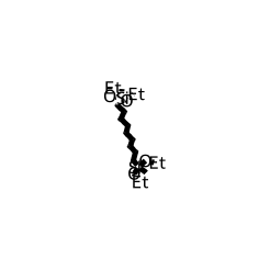 CCO[Si](C)(CCCCCCCCC[Si](C)(OCC)OCC)OCC